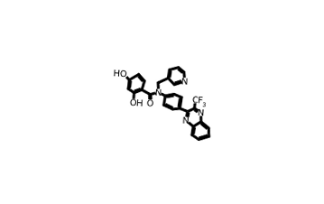 O=C(c1ccc(O)cc1O)N(Cc1cccnc1)c1ccc(-c2nc3ccccc3nc2C(F)(F)F)cc1